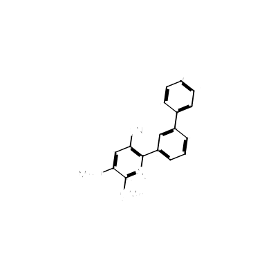 COc1cc(C#N)c(-c2cccc(-c3ccccc3)c2)nc1OC